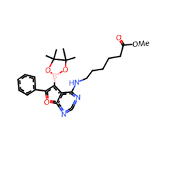 COC(=O)CCCCCNc1ncnc2oc(-c3ccccc3)c(B3OC(C)(C)C(C)(C)O3)c12